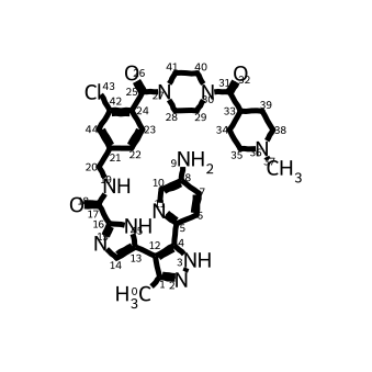 Cc1n[nH]c(-c2ccc(N)cn2)c1-c1cnc(C(=O)NCc2ccc(C(=O)N3CCN(C(=O)C4CCN(C)CC4)CC3)c(Cl)c2)[nH]1